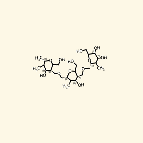 CC1[C@H](COC[C@@H]2C(CO)O[C@@H](COC[C@@H]3C(CO)O[C@@H](C)C(C)[C@@H]3O)C(C)[C@@H]2O)OC(CO)[C@@H](O)[C@H]1O